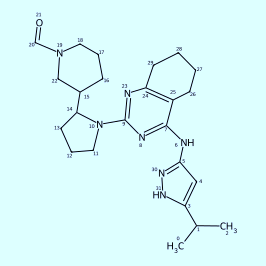 CC(C)c1cc(Nc2nc(N3CCCC3C3CCCN(C=O)C3)nc3c2CCCC3)n[nH]1